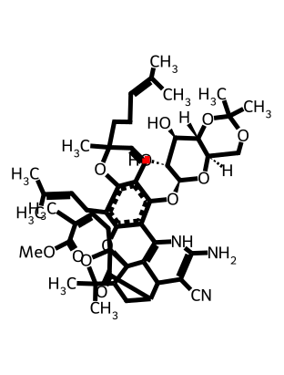 COC(=O)/C(C)=C\CC12OC(C)(C)C3CC(C1=O)C1C(C#N)=C(N)NC4=C1C32Oc1c(CC=C(C)C)c2c(c(O[C@@H]3O[C@@H]5COC(C)(C)O[C@H]5[C@H](O)[C@H]3O)c14)C=CC(C)(CCC=C(C)C)O2